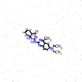 CCN(CC)c1ccc2nc(Nc3nc(=O)c4ccccc4[nH]3)nc(C)c2c1